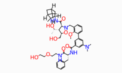 COc1c(CN2O[C@@H](CO)[C@H]([C@H](C)O)[C@H]2C(=O)N[C@H]2C[C@H]3C[C@@H]([C@@H]2C)C3(C)C)cccc1-c1cc(C(=O)N[C@H](Cc2ccccc2)C(=O)NCCOCCO)cc(N(C)C)c1